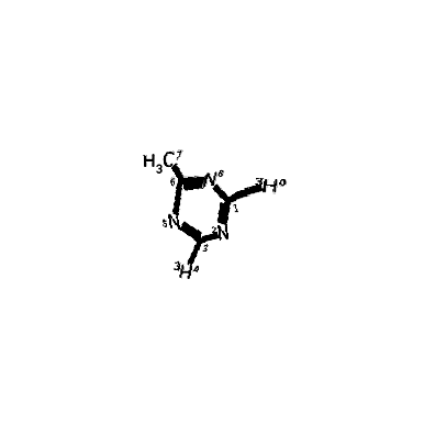 [3H]c1nc([3H])nc(C)n1